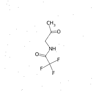 CC(=O)CNC(=O)C(F)(F)F